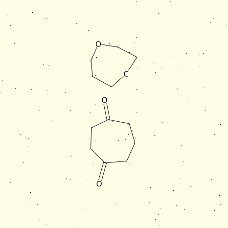 C1CCCOCC1.O=C1CCCC(=O)CC1